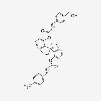 Cc1ccc(/C=C/C(=O)Oc2cccc3c2[C@@]2(CC3)CCc3cccc(OC(=O)/C=C/c4ccc(CO)cc4)c32)cc1